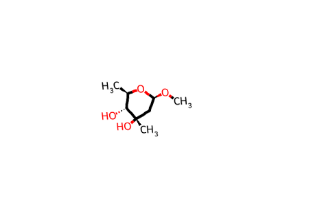 CO[C@H]1C[C@](C)(O)[C@H](O)[C@@H](C)O1